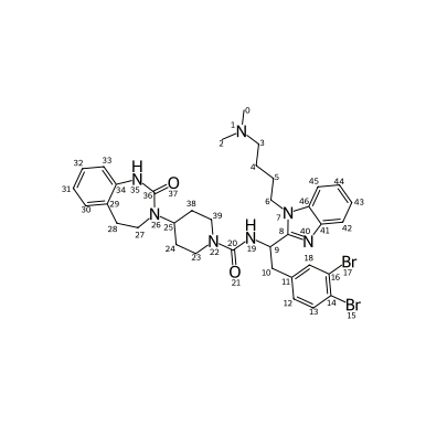 CN(C)CCCCn1c(C(Cc2ccc(Br)c(Br)c2)NC(=O)N2CCC(N3CCc4ccccc4NC3=O)CC2)nc2ccccc21